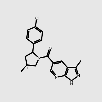 Cc1n[nH]c2ncc(C(=O)N3C[C@@H](C)CC3c3ccc(Cl)cc3)cc12